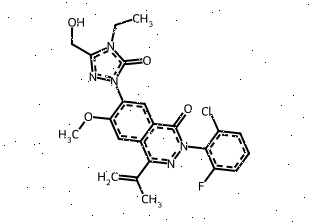 C=C(C)c1nn(-c2c(F)cccc2Cl)c(=O)c2cc(-n3nc(CO)n(CC)c3=O)c(OC)cc12